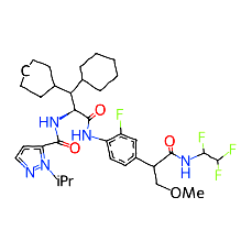 COCC(C(=O)NC(F)C(F)F)c1ccc(NC(=O)[C@@H](NC(=O)c2ccnn2C(C)C)C(C2CCCCC2)C2CCCCC2)c(F)c1